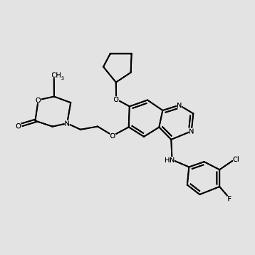 CC1CN(CCOc2cc3c(Nc4ccc(F)c(Cl)c4)ncnc3cc2OC2CCCC2)CC(=O)O1